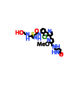 COc1nc(-c2ccnc(-c3cccc(NC(=O)c4ncc(CNCCO)s4)c3C)c2Cl)ccc1CNCC1CCC(=O)N1